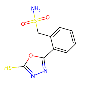 NS(=O)(=O)Cc1ccccc1-c1nnc(S)o1